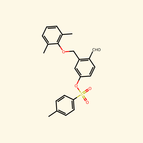 Cc1ccc(S(=O)(=O)Oc2ccc(C=O)c(COc3c(C)cccc3C)c2)cc1